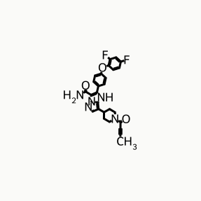 CC#CC(=O)N1CCC(c2cnn3c(C(N)=O)c(-c4ccc(Oc5ccc(F)cc5F)cc4)[nH]c23)CC1